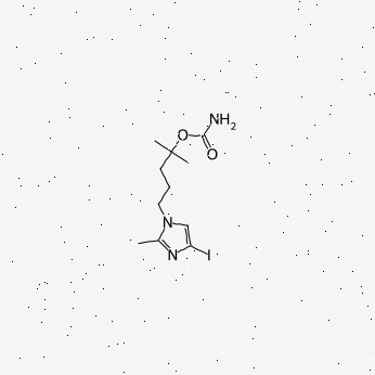 Cc1nc(I)cn1CCCC(C)(C)OC(N)=O